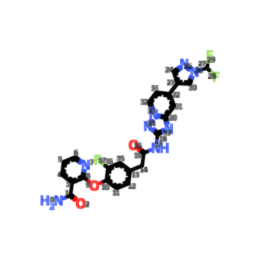 NC(=O)c1cccnc1Oc1ccc(CC(=O)Nc2nc3cc(-c4cnn(C(F)F)c4)ccn3n2)cc1F